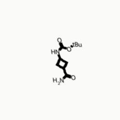 CC(C)(C)OC(=O)NC1CC(C(N)=O)C1